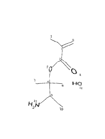 C=C(C)C(=O)OC(C)(C)C(C)N.Cl